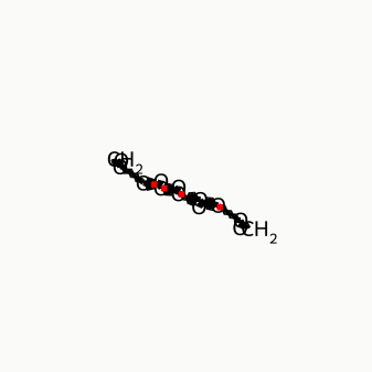 C=CC(=O)OCCCCCCCOc1ccc(C(=O)Oc2ccc(CCOC(=O)c3ccc(OC(=O)c4ccc(OCCCCCCCOC(=O)C=C)cc4)cc3)cc2)cc1